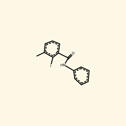 Cc1cccc(C(=O)Nc2ccccc2)c1I